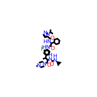 CC(c1ccc(NC(=O)C(NC(=O)c2ccnn2C(C)C)C2CCCCC2)c(F)c1)C(NC(=O)NC1CC1)C(=O)N1CCN(C)CC1